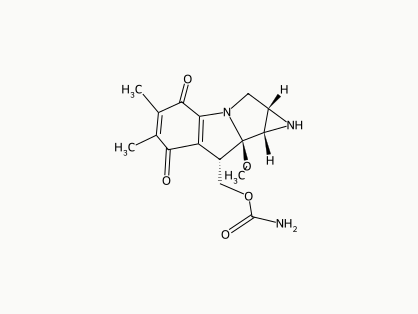 CO[C@@]12[C@H](COC(N)=O)C3=C(C(=O)C(C)=C(C)C3=O)N1C[C@@H]1N[C@@H]12